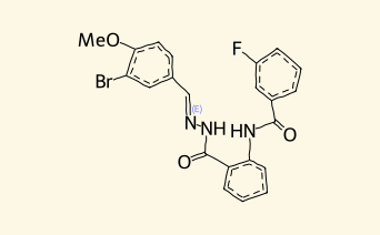 COc1ccc(/C=N/NC(=O)c2ccccc2NC(=O)c2cccc(F)c2)cc1Br